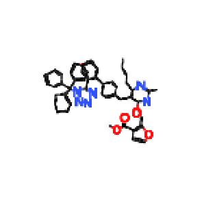 CCCCc1nc(C)nc(OCc2occc2C(=O)OC)c1Cc1ccc(-c2ccccc2-c2nnnn2C(c2ccccc2)(c2ccccc2)c2ccccc2)cc1